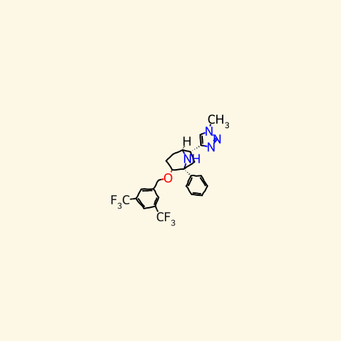 Cn1cc([C@@H]2C[C@]3(c4ccccc4)N[C@H]2CC[C@H]3OCc2cc(C(F)(F)F)cc(C(F)(F)F)c2)nn1